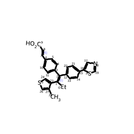 CC/C(=C(/c1ccc(/C=C/C(=O)O)cc1)c1ccc(-c2cncs2)cc1)c1cscc1C